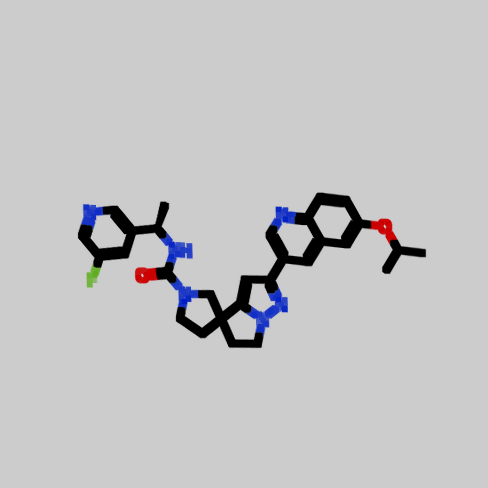 CC(C)Oc1ccc2ncc(-c3cc4n(n3)CCC43CCN(C(=O)N[C@H](C)c4cncc(F)c4)C3)cc2c1